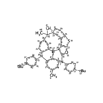 Cc1cc2c3c(c1)N(c1ccc(C(C)(C)C)cc1)c1oc4sc5ccc6cc5c4c1B3c1cc(ccc1N2c1ccc(C(C)(C)C)cc1)C6(C)C